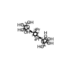 CC(C)c1cc(C#C[C@H]2O[C@H](CO)[C@@H](O)[C@H](O)[C@@H]2O)c(C(C)C)cc1C#C[C@H]1O[C@H](CO)[C@@H](O)[C@H](O)[C@@H]1O